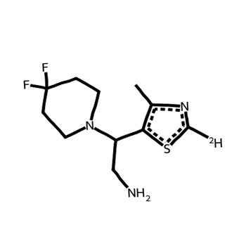 [2H]c1nc(C)c(C(CN)N2CCC(F)(F)CC2)s1